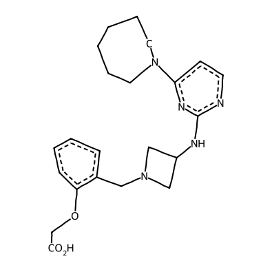 O=C(O)COc1ccccc1CN1CC(Nc2nccc(N3CCCCCC3)n2)C1